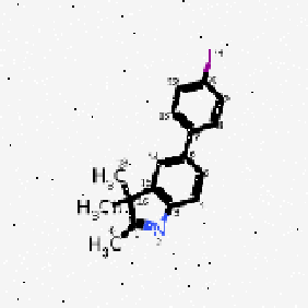 CC1=Nc2ccc(-c3ccc(I)cc3)cc2C1(C)C